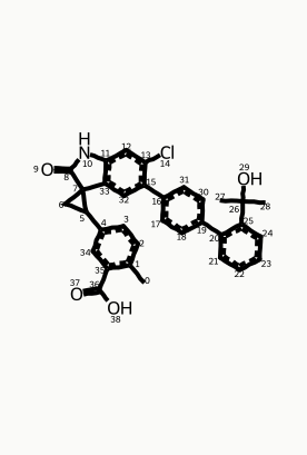 Cc1ccc(C2CC23C(=O)Nc2cc(Cl)c(-c4ccc(-c5ccccc5C(C)(C)O)cc4)cc23)cc1C(=O)O